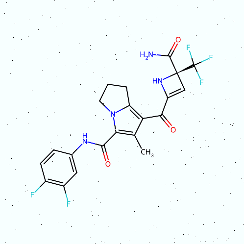 Cc1c(C(=O)C2=C[C@](C(N)=O)(C(F)(F)F)N2)c2n(c1C(=O)Nc1ccc(F)c(F)c1)CCC2